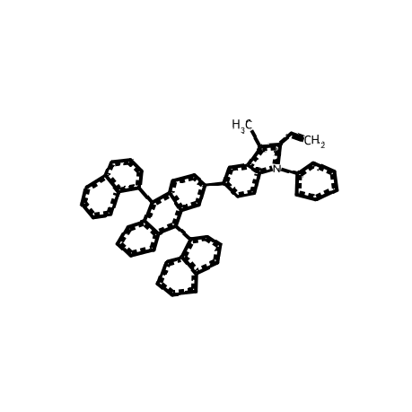 C=Cc1c(C)c2cc(-c3ccc4c(-c5cccc6ccccc56)c5ccccc5c(-c5cccc6ccccc56)c4c3)ccc2n1-c1ccccc1